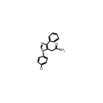 NC(=O)Cc1c(-c2ccccc2)ncn1-c1ccc(Cl)cc1